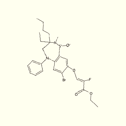 CCCCC1(CC)CN(c2ccccc2)c2cc(Br)c(O/C=C(\F)C(=O)OCC)cc2[S+]([O-])N1C